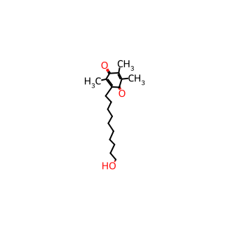 CC1=C(C)C(=O)C(CCCCCCCCCCO)=C(C)C1=O